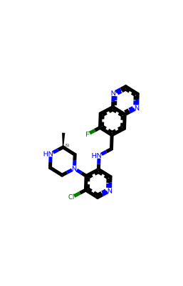 C[C@H]1CN(c2c(Cl)cncc2NCc2cc3nccnc3cc2F)CCN1